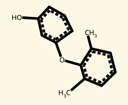 Cc1cccc(C)c1Oc1cccc(O)c1